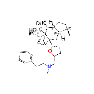 CC(C)C1=CC2CC3(C=O)[C@@H]4CC[C@@H](C)[C@H]4CC2(C2CCC(CN(C)CCc4ccccc4)O2)C13C(=O)O